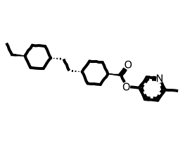 CC[C@H]1CC[C@H](CC[C@H]2CC[C@H](C(=O)Oc3ccc(C)nc3)CC2)CC1